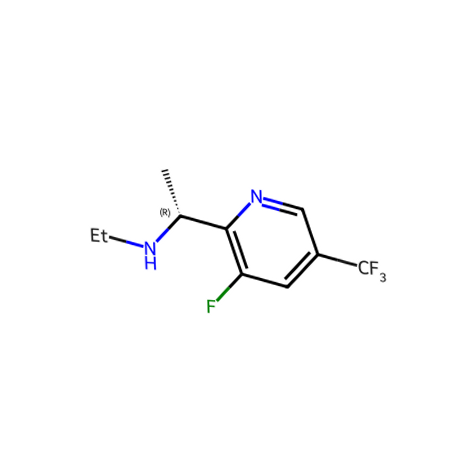 CCN[C@H](C)c1ncc(C(F)(F)F)cc1F